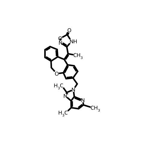 CC(=C1c2ccccc2COc2cc(Cn3c(C)nc4c(C)cc(C)nc43)ccc21)c1noc(=O)[nH]1